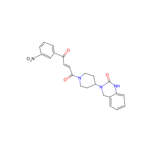 O=C(/C=C/C(=O)N1CCC(N2Cc3ccccc3NC2=O)CC1)c1cccc([N+](=O)[O-])c1